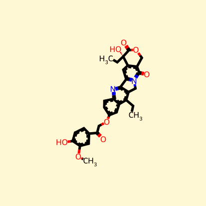 CCc1c2c(nc3ccc(OCC(=O)c4ccc(O)c(OC)c4)cc13)-c1cc3c(c(=O)n1C2)COC(=O)[C@]3(O)CC